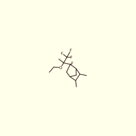 CCOC(C)(C(F)(F)F)C1(F)CC2CC1C(C)C2C